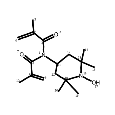 C=C(C)C(=O)N(C(=O)C(=C)C)C1CC(C)(C)N(O)C(C)(C)C1